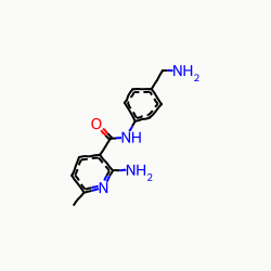 Cc1ccc(C(=O)Nc2ccc(CN)cc2)c(N)n1